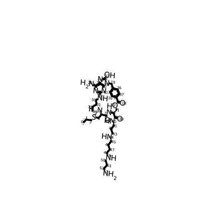 [CH2][CH]CSC[C@H](N)C(=O)N[C@@H](COC(=O)c1ccc(Cn2c(O)nc3c(N)nc(NCCCC)nc32)cc1)C(=O)NCCCNCCCCNCCCN